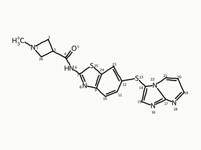 CN1CC(C(=O)Nc2nc3ccc(Sc4cnc5ncccn45)cc3s2)C1